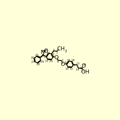 CCCc1c(OCCOc2ccc(CCC(=O)O)cc2)ccc2c(-c3ccccc3)noc12